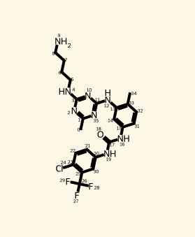 Cc1nc(NCCCCN)nc(Nc2cc(NC(=O)Nc3ccc(Cl)c(C(F)(F)F)c3)ccc2C)n1